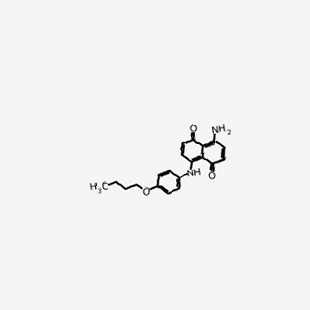 CCCCOc1ccc(NC2=C3C(=O)C=CC(N)=C3C(=O)C=C2)cc1